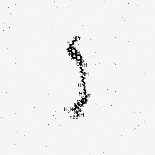 CCCCNc1nc(N)c2nc(O)n(Cc3ccc(C(=O)NCCCNCCCCNCCCNC(=O)O[C@H]4CC[C@@]5(C)C(=CC[C@H]6C7CCC([C@H](C)CCCC(C)C)[C@@]7(C)CC[C@@H]65)C4)cc3)c2n1